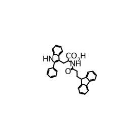 O=C(CCC1c2ccccc2-c2ccccc21)NC(Cc1c(-c2ccccc2)[nH]c2ccccc12)C(=O)O